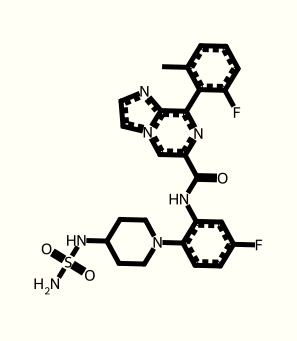 Cc1cccc(F)c1-c1nc(C(=O)Nc2cc(F)ccc2N2CCC(NS(N)(=O)=O)CC2)cn2ccnc12